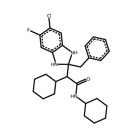 O=C(NC1CCCCC1)C(C1CCCCC1)C1(Cc2ccccc2)Nc2cc(F)c(Cl)cc2N1